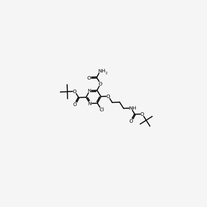 CC(C)(C)OC(=O)NCCCOc1c(Cl)nc(C(=O)OC(C)(C)C)nc1OC(N)=O